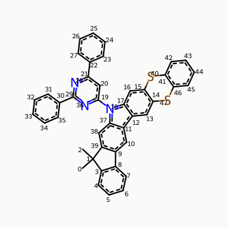 CC1(C)c2ccccc2-c2cc3c4cc5c(cc4n(-c4cc(-c6ccccc6)nc(-c6ccccc6)n4)c3cc21)Sc1ccccc1S5